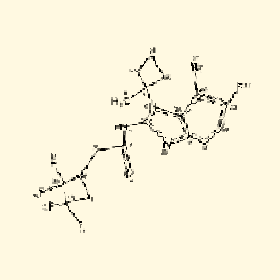 CC1(n2c(NC(=O)CC3CC(F)(F)C3(F)F)nc3ccc(F)c(Br)c32)CCC1